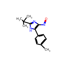 Cc1ccc(-c2[nH]c(C(C)(C)C)nc2N=O)cc1